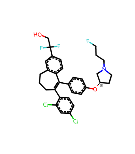 OCC(F)(F)c1ccc2c(c1)CCCC(c1ccc(Cl)cc1Cl)=C2c1ccc(O[C@H]2CCN(CCCF)C2)cc1